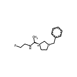 CC(NCCF)[C@@H]1CCN(Cc2ccccc2)C1